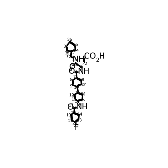 O=C(O)CC[C@H](NC(=O)c1ccc(-c2ccc(NC(=O)c3ccc(F)cc3)cc2)cc1)C(=O)NCc1ccccc1